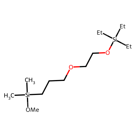 CC[Si](CC)(CC)OCCOCCC[Si](C)(C)OC